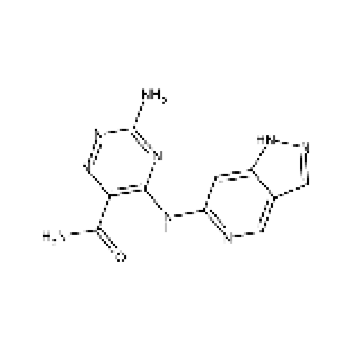 NC(=O)c1nnc(N)nc1Nc1cc2[nH]ncc2cn1